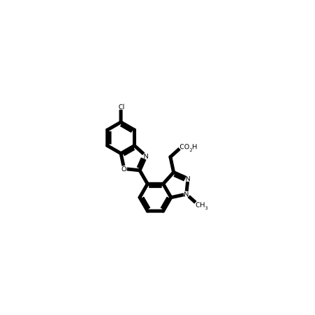 Cn1nc(CC(=O)O)c2c(-c3nc4cc(Cl)ccc4o3)cccc21